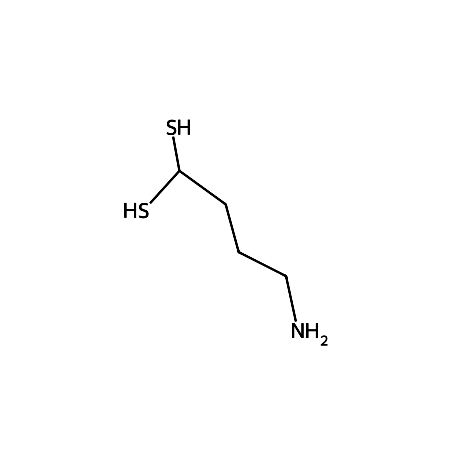 NCCCC(S)S